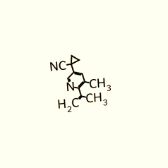 C=C(C)c1ncc(C2(C#N)CC2)cc1C